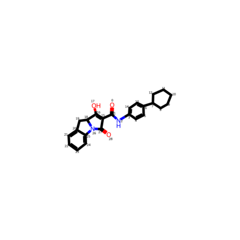 O=C(Nc1ccc(C2CCCCC2)cc1)C1=C(O)C2Cc3ccccc3N2C1=O